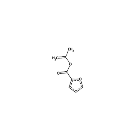 C=C(C)OC(=O)c1ccco1